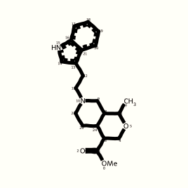 COC(=O)C1COC(C)C2CN(CCc3c[nH]c4ccccc34)CCC12